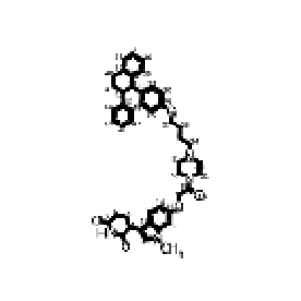 Cn1cc(C2CCC(=O)NC2=O)c2ccc(OCC(=O)N3CCN(CCCCOc4ccc(C5c6ccccc6CCC5c5ccccc5)cc4)CC3)cc21